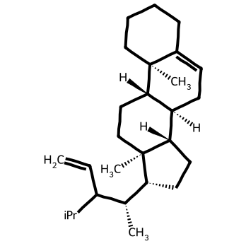 C=CC(C(C)C)[C@@H](C)[C@H]1CC[C@H]2[C@@H]3CC=C4CCCC[C@]4(C)[C@H]3CC[C@]12C